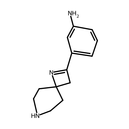 Nc1cccc(C2=NC3(CCNCC3)C2)c1